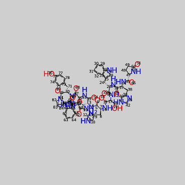 CC(C)(C)OC[C@@H](NC(=O)[C@H](Cc1c[nH]cn1)NC(=O)[C@H](CO)NC(=O)[C@H](Cc1c[nH]c2ccccc12)NC(=O)[C@H](Cc1c[nH]cn1)NC(=O)[C@@H]1CCC(=O)N1)C(=O)N[C@@H](Cc1c[nH]c2ccccc12)C(=O)N[C@@H](Cc1ccc(O)cc1)C(=O)N1CCC[C@H]1C(=O)NCC(N)=O